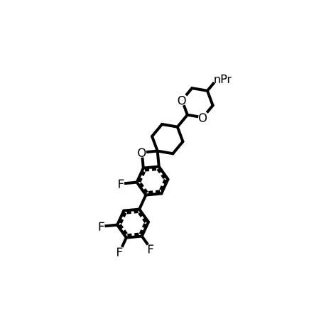 CCCC1COC(C2CCC3(CC2)Oc2c3ccc(-c3cc(F)c(F)c(F)c3)c2F)OC1